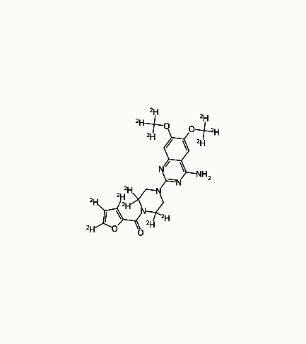 [2H]c1oc(C(=O)N2C([2H])([2H])CN(c3nc(N)c4cc(OC([2H])([2H])[2H])c(OC([2H])([2H])[2H])cc4n3)CC2([2H])[2H])c([2H])c1[2H]